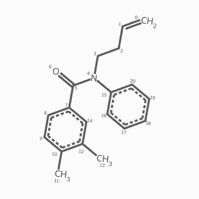 C=CCCN(C(=O)c1ccc(C)c(C)c1)c1ccccc1